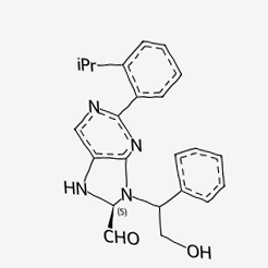 CC(C)c1ccccc1-c1ncc2c(n1)N(C(CO)c1ccccc1)[C@@H](C=O)N2